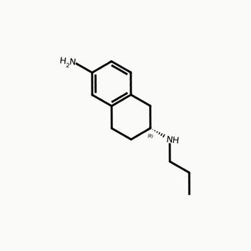 CCCN[C@@H]1CCc2cc(N)ccc2C1